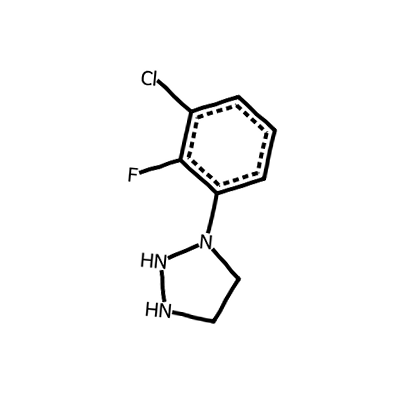 Fc1c(Cl)cccc1N1CCNN1